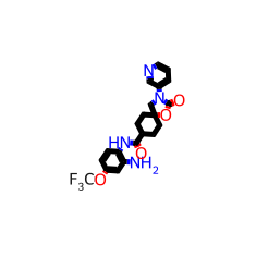 Nc1cc(OC(F)(F)F)ccc1NC(=O)C1CCC2(CC1)CN(c1cccnc1)C(=O)O2